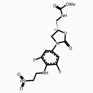 COC(=O)NC[C@H]1CN(c2cc(F)c(NCC[SH](=O)=O)c(F)c2)C(=O)O1